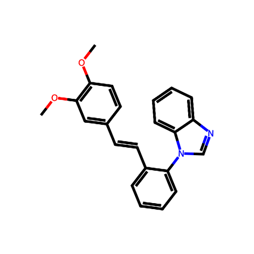 COc1ccc(C=Cc2ccccc2-n2cnc3ccccc32)cc1OC